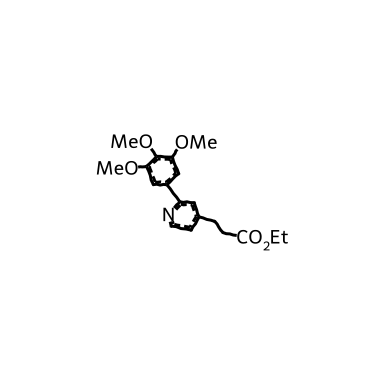 CCOC(=O)CCc1ccnc(-c2cc(OC)c(OC)c(OC)c2)c1